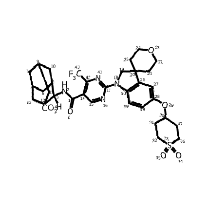 O=C(NC1(C(=O)O)C2CC3CC(C2)CC1C3)c1cnc(N2CC3(CCOCC3)c3cc(OC4CCS(=O)(=O)CC4)ccc32)nc1C(F)(F)F